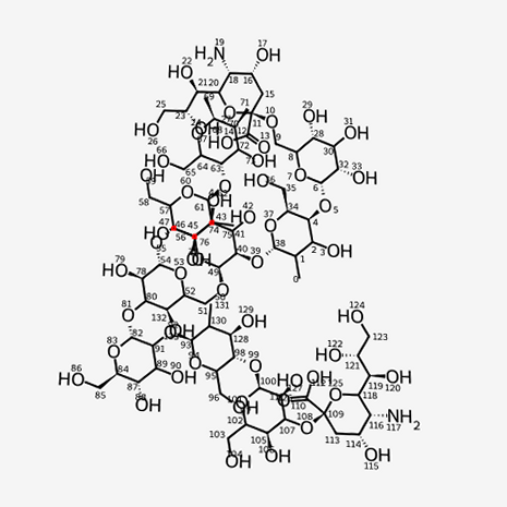 CC1C(O)[C@H](O[C@@H]2OC(CO[C@]3(C(=O)O)C[C@@H](O)[C@@H](N)C([C@H](O)[C@H](O)CO)O3)[C@H](O)C(O)[C@@H]2O)[C@H](CO)O[C@H]1O[C@@H]1C(O)[C@H](O)C(CO)O[C@@H]1OCC1O[C@@H](O[C@@H]2C(CO)O[C@@H](O[C@@H]3C(CO)O[C@@H](C)[C@@H](C)C3O)C(C)[C@H]2O)[C@H](O)C(O[C@H]2O[C@H](CO)[C@@H](O)C(O)C2O[C@@H]2OC(CO)[C@@H](O[C@@H]3OC(CO)[C@H](O)C(O[C@]4(C(=O)O)C[C@@H](O)[C@@H](N)C([C@H](O)[C@H](O)CO)O4)[C@@H]3O)[C@H](O)C2C)[C@@H]1O